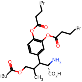 CCC(C)C(=O)OCC(C)C(c1ccc(OC(=O)CCC(C)C)c(OC(=O)CCC(C)C)c1)[C@H](N)C(=O)O